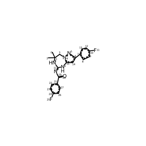 CC1(C)Cn2nc(-c3ccc(F)cc3)cc2N/C(=N\C(=O)c2ccc(F)cc2)N1